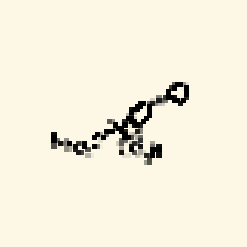 O=C(O)COc1c(C(=O)O)sc2cc(OCc3ccccc3)ccc12